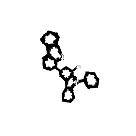 Clc1cc(-c2cccc3c2oc2ccccc23)cc2c3ccccc3n(-c3ccccc3)c12